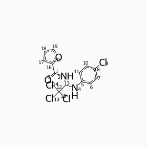 O=C(NC(Nc1ccc(Cl)cc1)C(Cl)(Cl)Cl)c1ccco1